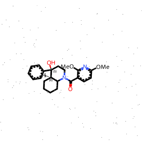 COc1ccc(C(=O)N2CC[C@@](O)(c3ccccc3)[C@@H]3CCCCC32)c(OC)n1